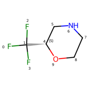 FC(F)(F)[C@@H]1CNCCO1